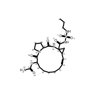 CCCNS(=O)(=O)NC(=O)C12CC1/C=C\CCCCCC(OC(N)=O)C(=O)N1CCCC1C(=O)N2